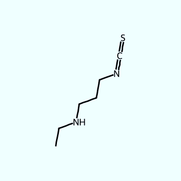 CCNCCCN=C=S